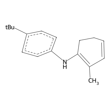 CC1=C(Nc2ccc(C(C)(C)C)cc2)CCC=C1